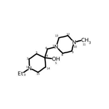 CCN1CCC(O)(CN2CCN(C)CC2)CC1